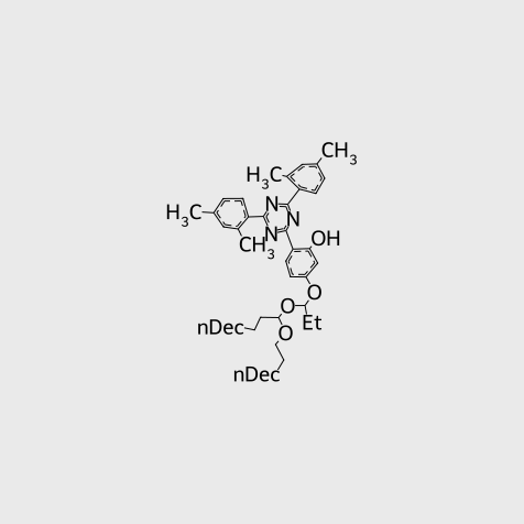 CCCCCCCCCCCCOC(CCCCCCCCCCCC)OC(CC)Oc1ccc(-c2nc(-c3ccc(C)cc3C)nc(-c3ccc(C)cc3C)n2)c(O)c1